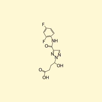 O=C(O)CCC(O)n1ncc(C(=O)Nc2ccc(F)cc2F)n1